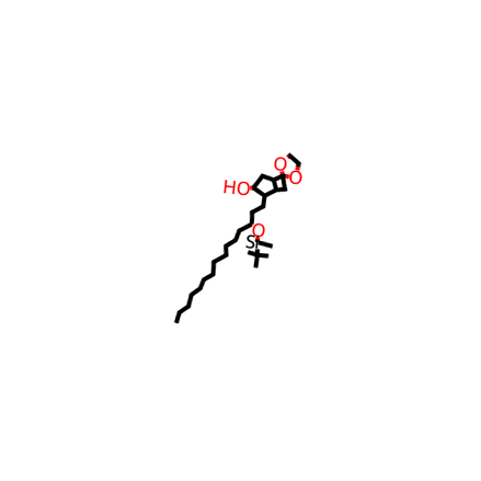 CCCCCCCCCCCCC(CCC1C(O)CC2C1CC21OCCO1)O[Si](C)(C)C(C)(C)C